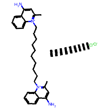 C=C.C=C.C=C.C=C.C=C.C=C.C=C.C=C.C=C.Cc1cc(N)c2ccccc2[n+]1CCCCCCCCCC[n+]1c(C)cc(N)c2ccccc21.[Cl-].[Cl-]